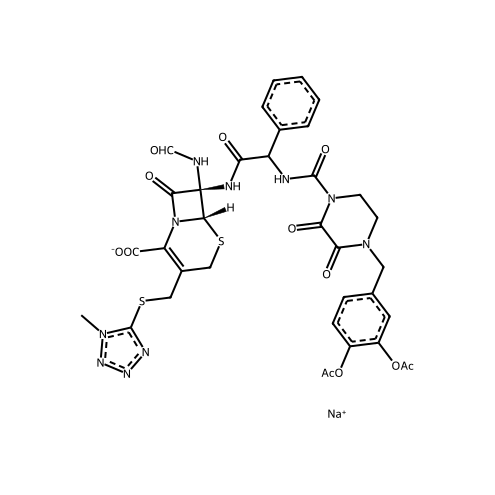 CC(=O)Oc1ccc(CN2CCN(C(=O)NC(C(=O)N[C@]3(NC=O)C(=O)N4C(C(=O)[O-])=C(CSc5nnnn5C)CS[C@H]43)c3ccccc3)C(=O)C2=O)cc1OC(C)=O.[Na+]